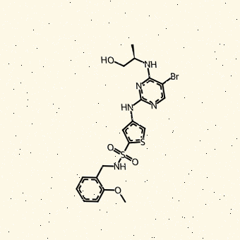 COc1ccccc1CNS(=O)(=O)c1cc(Nc2ncc(Br)c(N[C@H](C)CO)n2)cs1